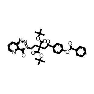 CC(C)(C)OC(=O)C(CCn1nnc2cccnc2c1=O)(CC(=O)c1ccc(OC(=O)c2ccccc2)cc1)C(=O)OC(C)(C)C